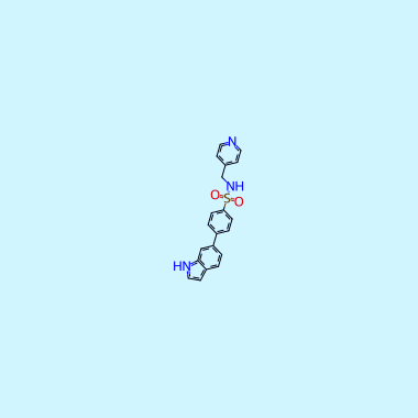 O=S(=O)(NCc1ccncc1)c1ccc(-c2ccc3cc[nH]c3c2)cc1